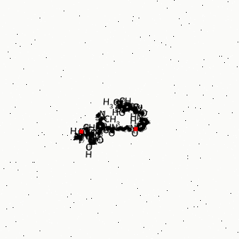 Cc1ncsc1-c1ccc(CNC(=O)[C@@H]2C[C@@H](O)CN2C(=O)C(NC(=O)C2(F)CC2)C(C)(C)C)c(OCC(=O)NCCCCCNC(=O)c2ccc3c(c2)[C@H](NC(=O)c2cc(-c4ccc(C(=O)N(C)C)c(O)c4)on2)CC3)c1